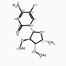 CC(=O)OO[C@@H]1[C@@H](OOC(C)=O)[C@@H](C)O[C@H]1n1cc(F)c(N)nc1=O